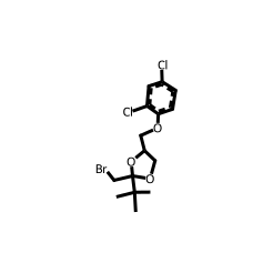 CC(C)(C)C1(CBr)OCC(COc2ccc(Cl)cc2Cl)O1